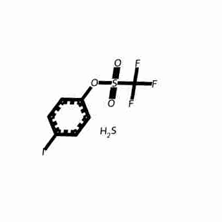 O=S(=O)(Oc1ccc(I)cc1)C(F)(F)F.S